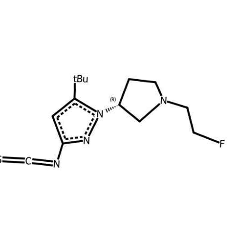 CC(C)(C)c1cc(N=C=S)nn1[C@@H]1CCN(CCF)C1